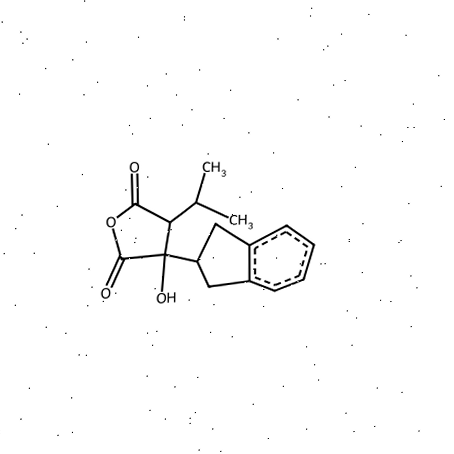 CC(C)C1C(=O)OC(=O)C1(O)C1Cc2ccccc2C1